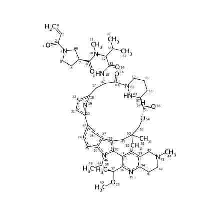 C=CC(=O)N1CC[C@H](C(=O)N(C)C(C(=O)N[C@H]2Cc3nc(cs3)-c3ccc4c(c3)c(c(-c3cc5c(nc3[C@H](C)OC)CCN(C)C5)n4CC)CC(C)(C)COC(=O)[C@@H]3CCCN(N3)C2=O)C(C)C)C1